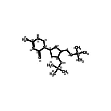 C[Si](C)(C)OCC1OC(N2CNC(N)=NC2=O)CC1O[Si](C)(C)C